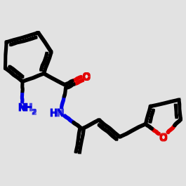 C=C(/C=C/c1ccco1)NC(=O)c1ccccc1N